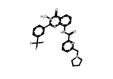 Cn1c(-c2cccc(C(F)(F)F)c2)nc2c(NC(=O)c3cccc(CN4CCCC4)n3)cccc2c1=O